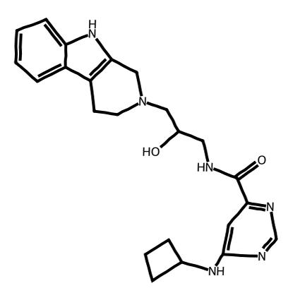 O=C(NCC(O)CN1CCc2c([nH]c3ccccc23)C1)c1cc(NC2CCC2)ncn1